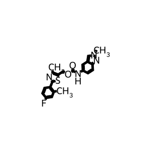 Cc1cc(F)ccc1-c1nc(C)c(COC(=O)Nc2ccc3nn(C)cc3c2)s1